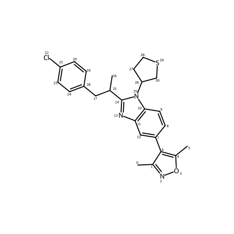 Cc1noc(C)c1-c1ccc2c(c1)nc(C(C)Cc1ccc(Cl)cc1)n2C1CCSC1